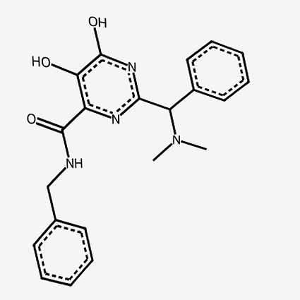 CN(C)C(c1ccccc1)c1nc(O)c(O)c(C(=O)NCc2ccccc2)n1